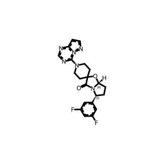 O=C1N2[C@@H](CC[C@H]2c2cc(F)cc(F)c2)OC12CCN(c1ncnc3ccnn13)CC2